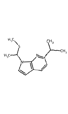 CSC(C)n1ccc2ccc(C(C)C)nc21